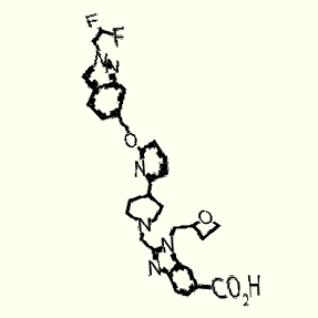 O=C(O)c1ccc2nc(CN3CCC(c4cccc(OCc5ccc6cn(CC(F)F)nc6c5)n4)CC3)n(CC3CCO3)c2c1